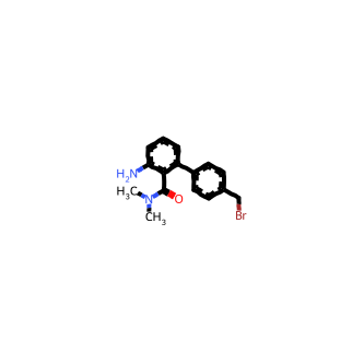 CN(C)C(=O)c1c(N)cccc1-c1ccc(CBr)cc1